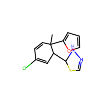 CC1(c2ccco2)C=CC(Cl)=CC1C1NN=CS1